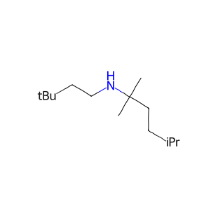 CC(C)CCC(C)(C)NCCC(C)(C)C